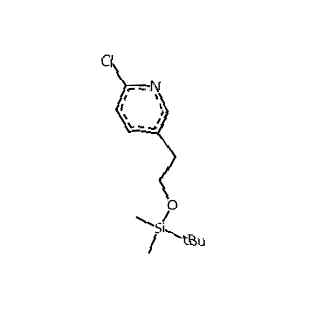 CC(C)(C)[Si](C)(C)OCCc1ccc(Cl)nc1